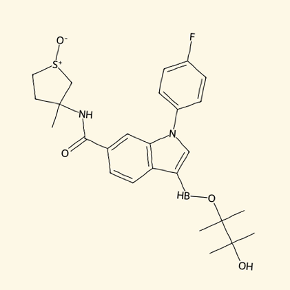 CC1(NC(=O)c2ccc3c(BOC(C)(C)C(C)(C)O)cn(-c4ccc(F)cc4)c3c2)CC[S+]([O-])C1